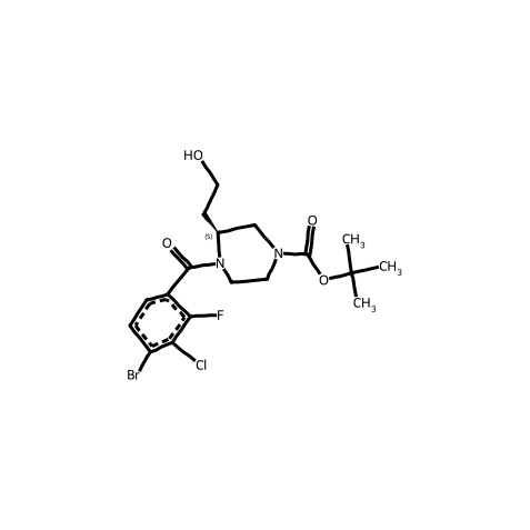 CC(C)(C)OC(=O)N1CCN(C(=O)c2ccc(Br)c(Cl)c2F)[C@@H](CCO)C1